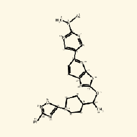 CC(=O)N(C)c1ncc(-c2ccc3nc(OC(C)C4CCN(c5nc(C(C)C)no5)CC4)sc3n2)cn1